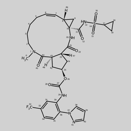 CN1CCCC/C=C\[C@@H]2C[C@@]2(C(=O)NS(=O)(=O)C2CC2)NC(=O)[C@@H]2C[C@@H](OC(=O)Nc3cc(C(F)(F)F)ccc3-n3cccn3)C[C@H]2C1=O